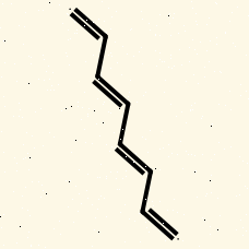 [CH]=CC=CC=CC=[CH]